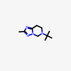 Cc1nc2n(n1)CN(C(C)(C)C)CC2